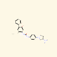 COc1cc2c(cc1NC(=O)Nc1ccc(N3CCC(N(C)C)C3)cc1)oc1ccccc12